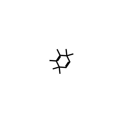 CC1=C(C)C(C)(C)C=CC1(C)C